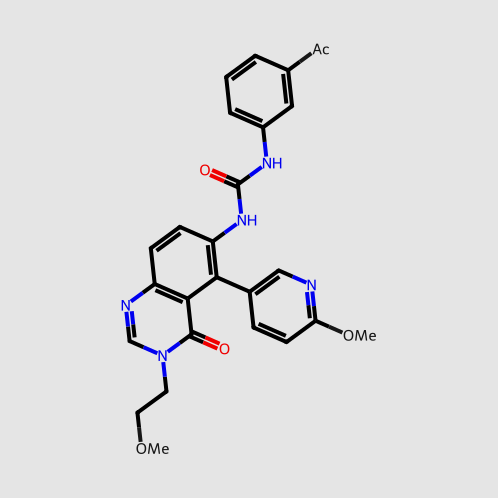 COCCn1cnc2ccc(NC(=O)Nc3cccc(C(C)=O)c3)c(-c3ccc(OC)nc3)c2c1=O